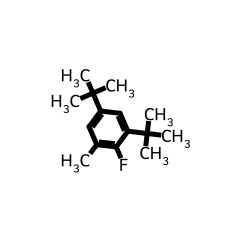 Cc1cc(C(C)(C)C)cc(C(C)(C)C)c1F